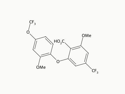 COc1cc(OC(F)(F)F)ccc1Oc1cc(C(F)(F)F)cc(OC)c1C(=O)O